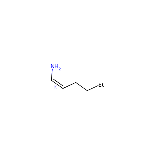 CCCC/C=C\N